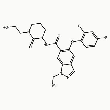 CC(C)Cn1ncc2cc(Oc3ccc(F)cc3F)c(C(=O)NC3CCCN(CCO)C3=O)cc21